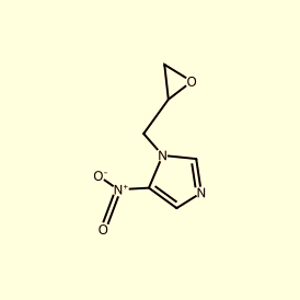 O=[N+]([O-])c1cncn1CC1CO1